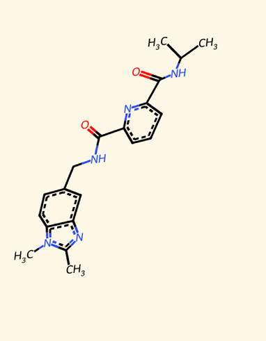 Cc1nc2cc(CNC(=O)c3cccc(C(=O)NC(C)C)n3)ccc2n1C